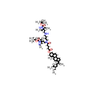 CC[C@H](CC[C@@H](C)C1CCC2C3CC=C4CC(OC(=O)CCCC(=O)N(CCCCNCCC(CC)(CC)NC(=O)OC(C)(C)C)CCC(CC)(CC)NC(=O)OC(C)(C)C)CCC4(C)C3CCC21C)C(C)C